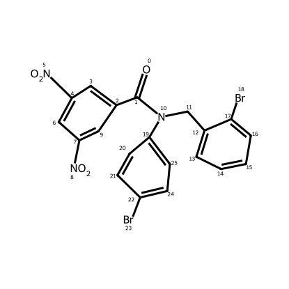 O=C(c1cc([N+](=O)[O-])cc([N+](=O)[O-])c1)N(Cc1ccccc1Br)c1ccc(Br)cc1